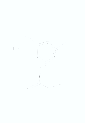 CCC(=O)Cl.Fc1cccc(Cl)c1.O